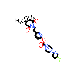 CC1(C)CC(=O)N(CCc2ccc(OC(=O)N3CCN(c4ccc(F)cn4)CC3)nc2)C(=O)C1